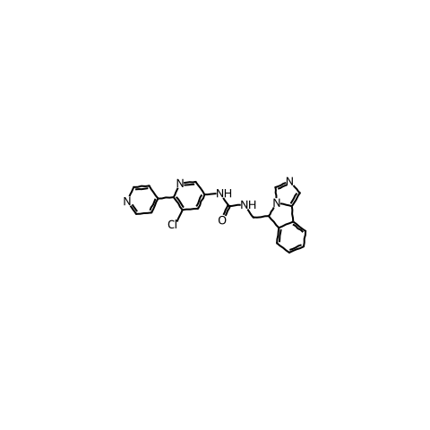 O=C(NCC1c2ccccc2-c2cncn21)Nc1cnc(-c2ccncc2)c(Cl)c1